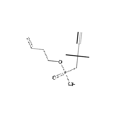 C#CC(C)(C)CP(=O)(O)OCCC=C